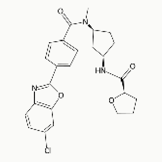 CN(C(=O)c1ccc(-c2nc3ccc(Cl)cc3o2)cc1)[C@H]1CC[C@@H](NC(=O)[C@H]2CCCO2)C1